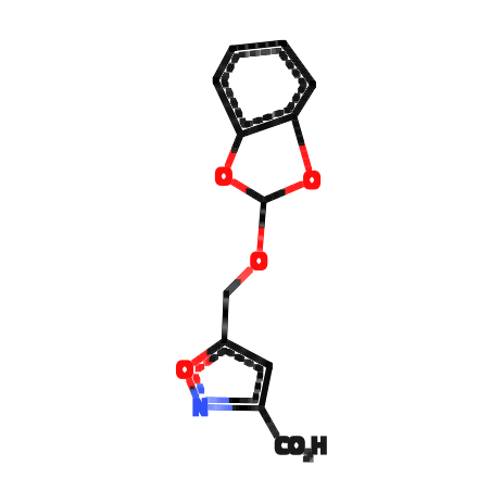 O=C(O)c1cc(COC2Oc3ccccc3O2)on1